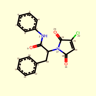 O=C(Nc1ccccc1)C(Cc1ccccc1)N1C(=O)C=C(Cl)C1=O